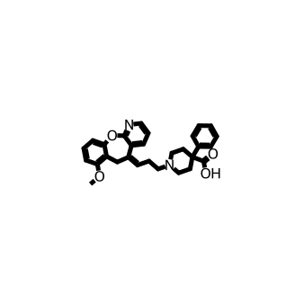 COc1cccc2c1C/C(=C/CCN1CCC(C(=O)O)(c3ccccc3)CC1)c1cccnc1O2